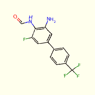 Nc1cc(-c2ccc(C(F)(F)F)cc2)cc(F)c1NC=O